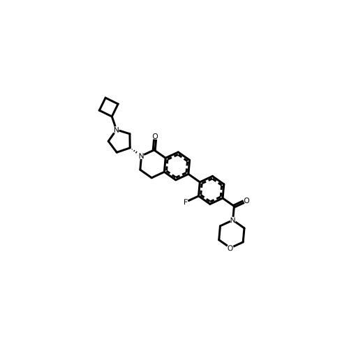 O=C(c1ccc(-c2ccc3c(c2)CCN([C@@H]2CCN(C4CCC4)C2)C3=O)c(F)c1)N1CCOCC1